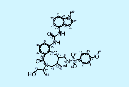 COc1ccc(S(=O)(=O)N(C)CC2Oc3c(NC(=O)Nc4cccc5c4ccn5C)cccc3C(=O)N(C(C)CO)CC2C)cc1